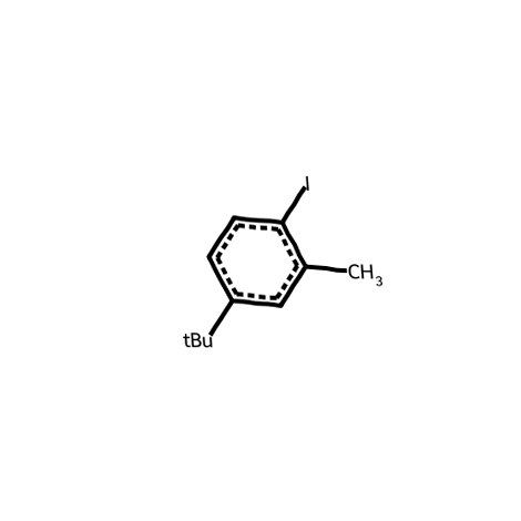 Cc1cc(C(C)(C)C)ccc1I